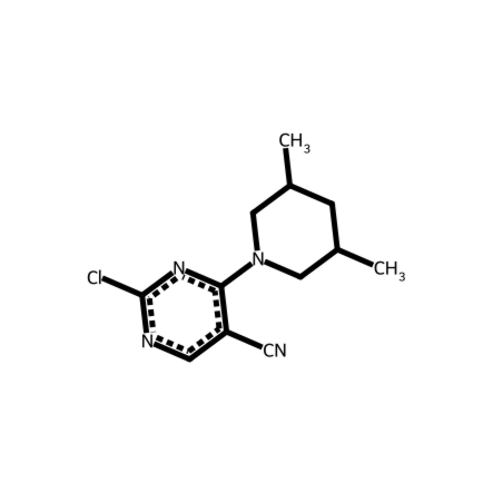 CC1CC(C)CN(c2nc(Cl)ncc2C#N)C1